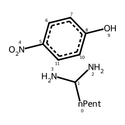 CCCCCC(N)N.O=[N+]([O-])c1ccc(O)cc1